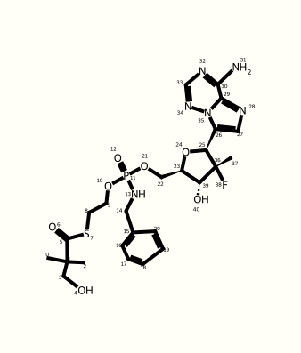 CC(C)(CO)C(=O)SCCOP(=O)(NCc1ccccc1)OC[C@H]1O[C@@H](c2cnc3c(N)ncnn23)[C@](C)(F)[C@@H]1O